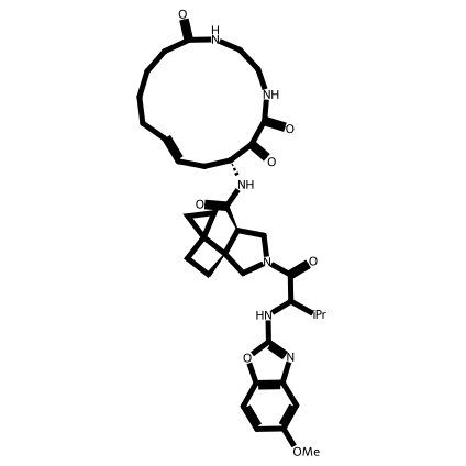 COc1ccc2oc(NC(C(=O)N3C[C@H](C(=O)N[C@@H]4C/C=C/CCCCC(=O)NCCNC(=O)C4=O)[C@]4(CCC45CC5)C3)C(C)C)nc2c1